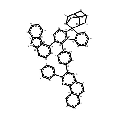 c1ccc(-c2nc3c(ccc4ccccc43)nc2-c2ccc(-c3c(-c4cccc5oc6ccccc6c45)ccc4c3-c3ccccc3C43C4CC5CC(C4)CC3C5)cc2)cc1